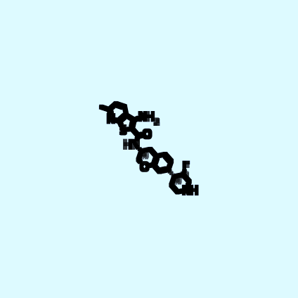 Cc1ccc2c(N)c(C(=O)N[C@H]3COc4cc([C@H]5CCNC[C@@H]5F)ccc4C3)sc2n1